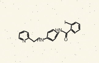 O=C(Nc1ccc(NCCc2ccccn2)cc1)c1ccccc1I